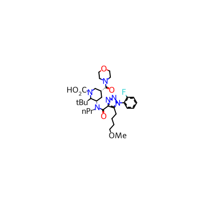 CCCN(C(=O)c1nnn(-c2ccccc2F)c1CCCCOC)[C@H]1C[C@@H](C(=O)N2CCOCC2)CN(C(=O)O)C1C(C)(C)C